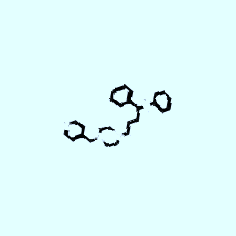 O=S(=O)(c1ccccc1)C(CCCN1CCN(Cc2ccncc2)CC1)c1ccccc1